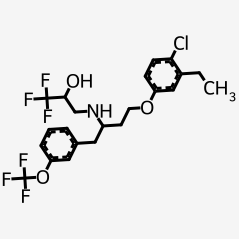 CCc1cc(OCCC(Cc2cccc(OC(F)(F)F)c2)NCC(O)C(F)(F)F)ccc1Cl